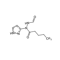 CCCCC(=O)N(NC=O)c1cc[nH]n1